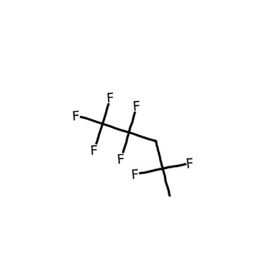 CC(F)(F)CC(F)(F)C(F)(F)F